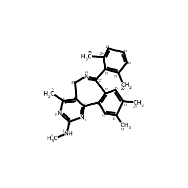 CNc1nc(C)c2c(n1)-c1cc(C)c(C)cc1C(c1c(C)cccc1C)=NC2